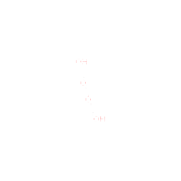 OCCCCOCCCOCCCCO